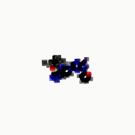 CC(C)(C)[S@@+]([O-])N[C@@H]1c2cnnn2CC12CCN(c1cnc3c(I)nn(C4CCCCO4)c3n1)CC2